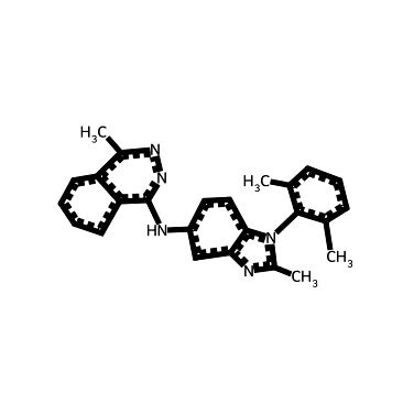 Cc1cccc(C)c1-n1c(C)nc2cc(Nc3nnc(C)c4ccccc34)ccc21